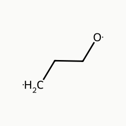 [CH2]CC[O]